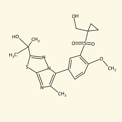 COc1ccc(-c2c(C)nc3sc(C(C)(C)O)nn23)cc1S(=O)(=O)C1(CO)CC1